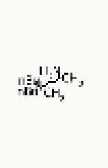 CCCCN(CCCC)C(C)CCC(C)N